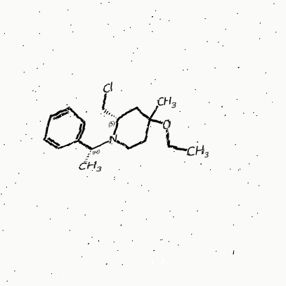 CCOC1(C)CCN([C@H](C)c2ccccc2)[C@H](CCl)C1